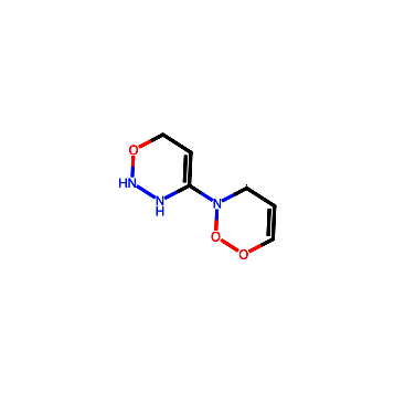 [CH]1C=COON1C1=CCONN1